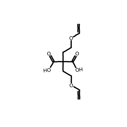 C=COCCC(CCOC=C)(C(=O)O)C(=O)O